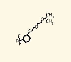 CC(C)OCCOCCSc1cccc(C(F)(F)F)c1